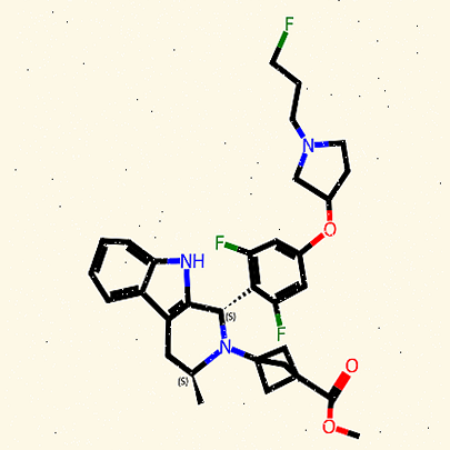 COC(=O)C12CC(N3[C@@H](c4c(F)cc(OC5CCN(CCCF)C5)cc4F)c4[nH]c5ccccc5c4C[C@@H]3C)(C1)C2